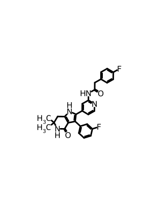 CC1(C)Cc2[nH]c(-c3ccnc(NC(=O)Cc4ccc(F)cc4)c3)c(-c3cccc(F)c3)c2C(=O)N1